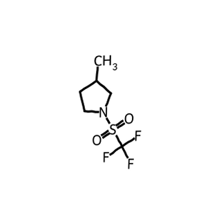 CC1CCN(S(=O)(=O)C(F)(F)F)C1